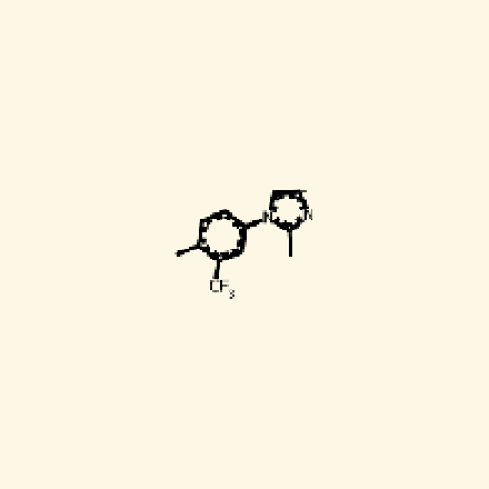 Cc1ccc(-n2c[c]nc2C)cc1C(F)(F)F